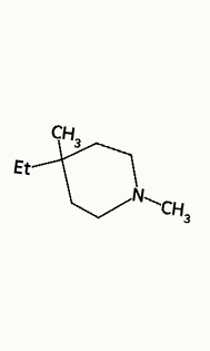 CCC1(C)CCN(C)CC1